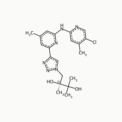 Cc1cc(Nc2cc(C)c(Cl)cn2)nc(-c2cn(C[C@](C)(O)C(C)(C)O)nn2)c1